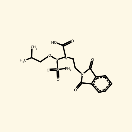 CC(C)CON([C@H](CCN1C(=O)c2ccccc2C1=O)C(=O)O)S(=O)(=O)P